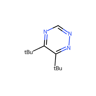 CC(C)(C)c1ncnnc1C(C)(C)C